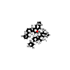 Cc1c(-c2[nH]c3ccc(N4C[C@H]5CC[C@@H]4CN5)nc3c2C(C)C)cn2ncnc2c1C.Cc1c(-c2[nH]c3ccc(N4C[C@H]5C[C@@H]4CN5)nc3c2C(C)C)cn2ncnc2c1C